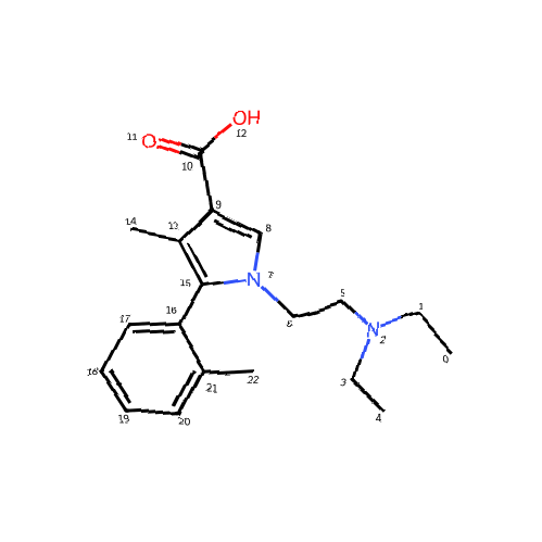 CCN(CC)CCn1cc(C(=O)O)c(C)c1-c1ccccc1C